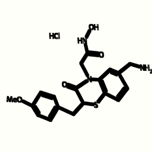 COc1ccc(CC2Sc3ccc(CN)cc3N(CC(=O)NO)C2=O)cc1.Cl